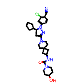 N#Cc1ccc(N2N=C(N3CCC4(CC3)CC(NC(=O)N3CCC(O)CC3)C4)CC2C2CCCC2)cc1Cl